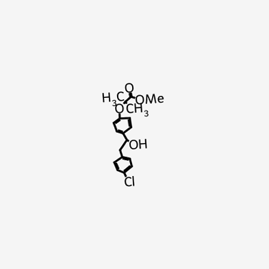 COC(=O)C(C)(C)Oc1ccc(C(O)Cc2ccc(Cl)cc2)cc1